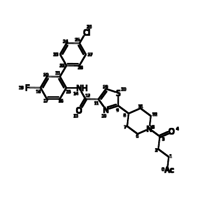 CC(=O)CCC(=O)N1CCC(c2nc(C(=O)Nc3ccc(F)cc3-c3ccc(Cl)cc3)cs2)CC1